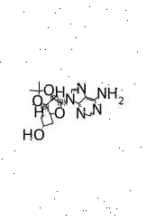 CC1(C)O[C@H]2[C@H](n3cnc4c(N)ncnc43)O[C@]3(C[C@@H](O)C3)[C@H]2O1